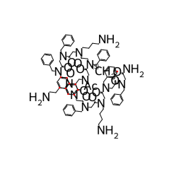 CC(=O)N(CC(=O)N(CC(=O)N(CCCCN)CC(=O)N(CC(=O)N(CC(=O)N(CCCCN)CC(=O)N(CC(=O)N(CC(=O)N(CCCCN)CC(=O)N(CC(=O)N(CC(N)=O)Cc1ccccc1)Cc1ccccc1)Cc1ccccc1)Cc1ccccc1)Cc1ccccc1)Cc1ccccc1)[C@@H](C)c1ccccc1)Cc1ccccc1